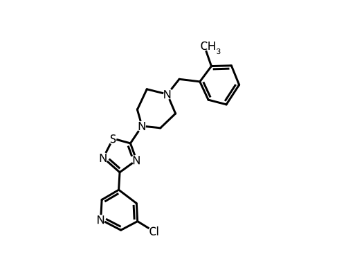 Cc1ccccc1CN1CCN(c2nc(-c3cncc(Cl)c3)ns2)CC1